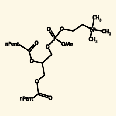 CCCCCC(=O)OCC(COP(=O)(OC)OCC[N+](C)(C)C)OC(=O)CCCCC